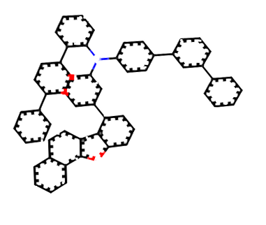 c1ccc(-c2ccc(-c3ccccc3N(c3ccc(-c4cccc(-c5ccccc5)c4)cc3)c3cccc(-c4cccc5oc6c7ccccc7ccc6c45)c3)cc2)cc1